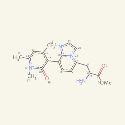 COC(=O)[C@@H](N)Cc1ccc(-c2c(C(F)(F)F)cc(C)n(C)c2=O)c2nccn12